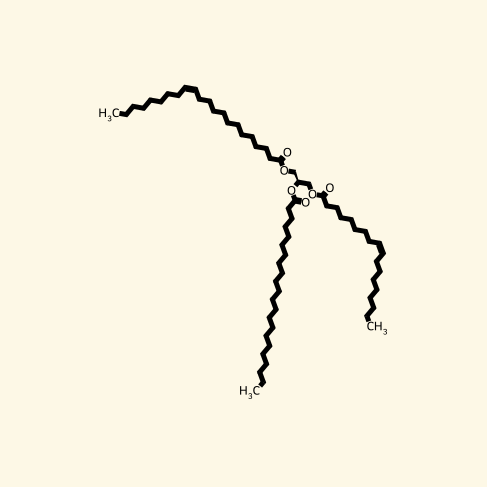 CCCCCCCC/C=C\CCCCCCCCCCCC(=O)OC[C@@H](COC(=O)CCCCCCC/C=C\CCCCCCCC)OC(=O)CCCCCCCCCCCCCCCCCCCCC